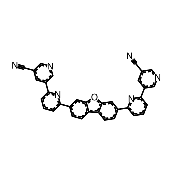 N#Cc1cncc(-c2cccc(-c3ccc4c(c3)oc3cc(-c5cccc(-c6cncc(C#N)c6)n5)ccc34)n2)c1